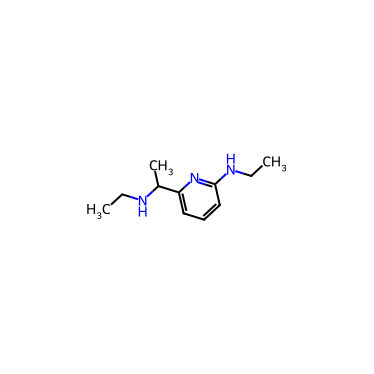 CCNc1cccc(C(C)NCC)n1